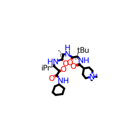 CC(C)[C@H](NC(=O)[C@H](C)NC(=O)[C@@H](NC(=O)C1CC[N+](C)(C)CC1)C(C)(C)C)C(=O)C(=O)NC1CCCCC1